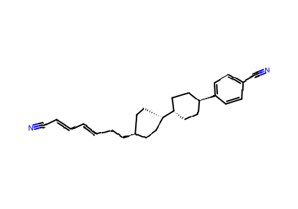 N#CC=CC=CCC[C@H]1CC[C@H]([C@H]2CC[C@H](c3ccc(C#N)cc3)CC2)CC1